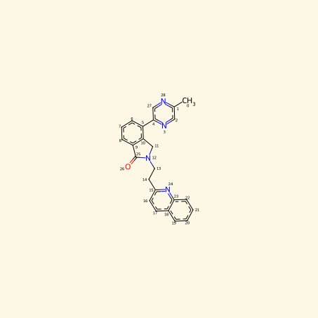 Cc1cnc(-c2cccc3c2CN(CCc2ccc4ccccc4n2)C3=O)cn1